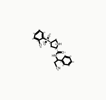 N#CCC(NC(=O)[C@@H]1C[C@@H](S(=O)(=O)c2ccccc2Cl)CN1)c1ccccc1